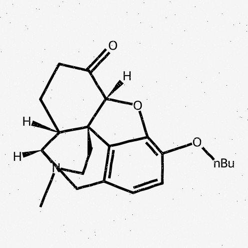 CCCCOc1ccc2c3c1O[C@H]1C(=O)CC[C@H]4[C@@H](C2)N(C)CC[C@]314